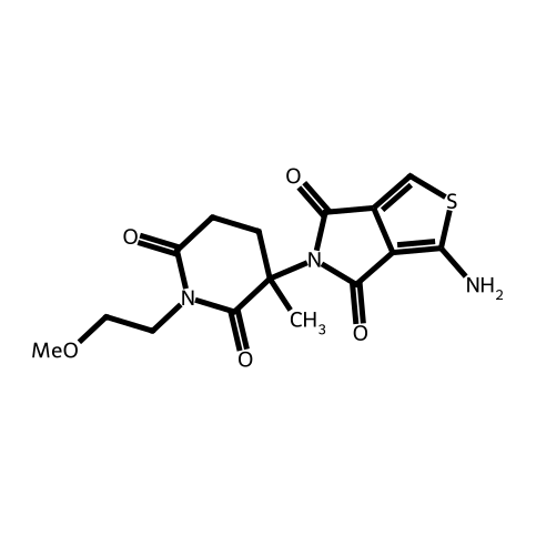 COCCN1C(=O)CCC(C)(N2C(=O)c3csc(N)c3C2=O)C1=O